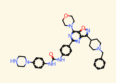 O=C(Nc1ccc(-c2nc(N3CCOCC3)c3onc(C4CCN(Cc5ccccc5)CC4)c3n2)cc1)Nc1ccc(N2CCNCC2)cc1